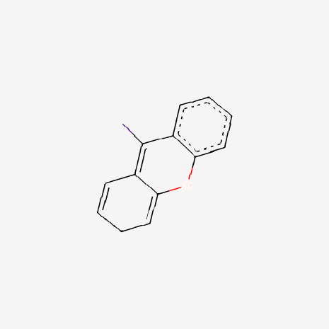 IC1=C2C=CCC=C2Oc2ccccc21